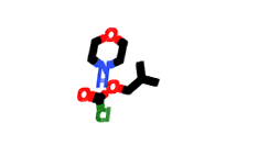 C1COCCN1.CC(C)COC(=O)Cl